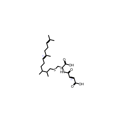 CC(C)=CCC/C(C)=C/CCC(C)C(C)CSC[C@H](NC(=O)/C=C/C(=O)O)C(=O)O